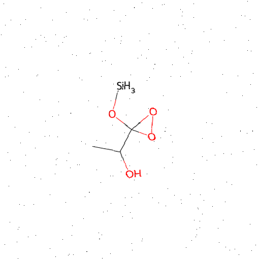 CC(O)C1(O[SiH3])OO1